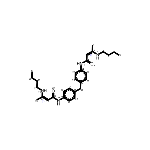 CCCCN/C(C)=C\C(=O)Nc1ccc(Cc2ccc(NC(=O)/C=C(/C)NCCCC)cc2)cc1